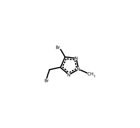 Cn1nc(Br)c(CBr)n1